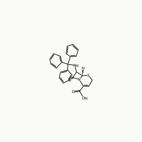 O=C(O)C1=CCS[C@H]2C(NC(c3ccccc3)(c3ccccc3)c3ccccc3)C(=O)N12